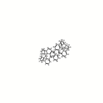 C1=CCC2C(=C1)N1C3=C(C=CCC3C23c2ccccc2C2C=CC=CC23)B2c3cccc4c3N(c3cccc1c32)C1C=CC=CC1C41c2ccccc2C2C=CC=CC21